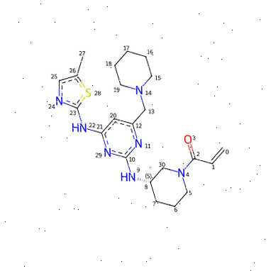 C=CC(=O)N1CCC[C@H](Nc2nc(CN3CCCCC3)cc(Nc3ncc(C)s3)n2)C1